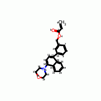 C=CC(=O)OCc1cccc(-c2ccc(N3CCOCC3)c3ccccc23)c1